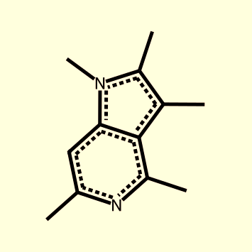 Cc1cc2c(c(C)n1)c(C)c(C)n2C